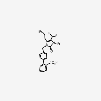 CCCn1c(C(F)F)c(CCC(C)C)n(Cc2ccc(-c3ccccc3C(=O)O)cc2)c1=O